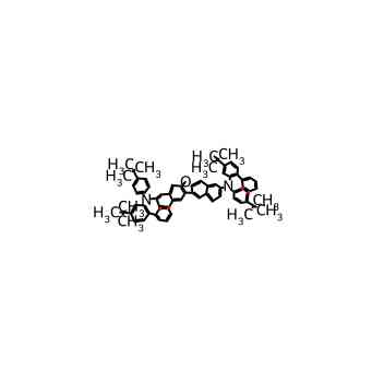 CC(C)(C)c1ccc(N(c2ccc3cc4c(cc3c2)oc2cc3cc(N(c5ccc(C(C)(C)C)cc5)c5cc(C(C)(C)C)ccc5-c5ccccc5)ccc3cc24)c2cc(C(C)(C)C)ccc2-c2ccccc2)cc1